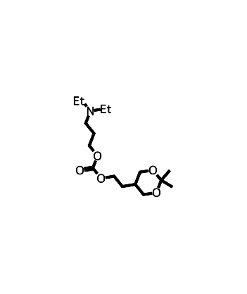 CCN(CC)CCCOC(=O)OCCC1COC(C)(C)OC1